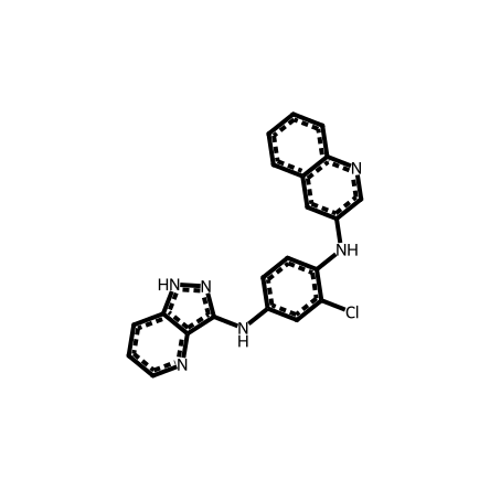 Clc1cc(Nc2n[nH]c3cccnc23)ccc1Nc1cnc2ccccc2c1